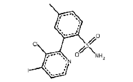 Cc1ccc(S(N)(=O)=O)c(-c2nccc(I)c2Cl)c1